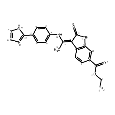 CCOC(=O)c1ccc2c(c1)NC(=O)/C2=C(/C)Nc1ccc(-c2nnn[nH]2)cc1